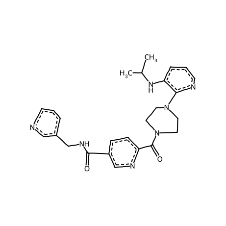 CC(C)Nc1cccnc1N1CCN(C(=O)c2ccc(C(=O)NCc3cccnc3)cn2)CC1